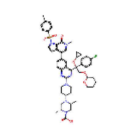 Cc1ccc(S(=O)(=O)n2ccc3c(-c4ccc5nc(N6CCC(N7C[C@@H](C)N(C(=O)O)C[C@@H]7C)CC6)nc(C(COC6CCCCO6)(OC6CC6)c6ccc(F)cc6)c5c4)cn(C)c(=O)c32)cc1